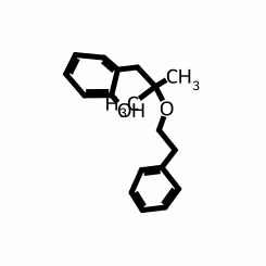 CC(C)(Cc1ccccc1O)OCCc1ccccc1